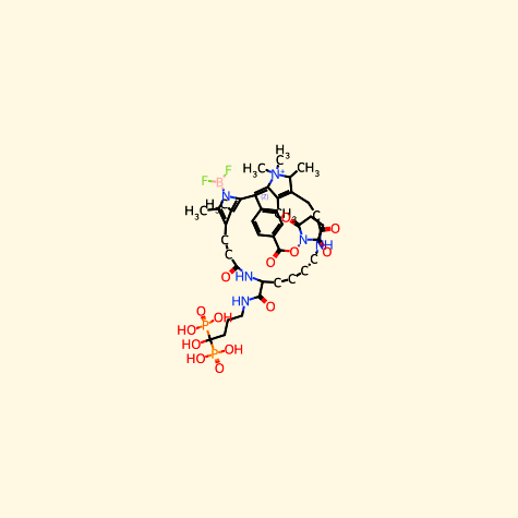 CC1=C2CCC(=O)NCCCCC(C(=O)NCCCC(O)(P(=O)(O)O)P(=O)(O)O)NC(=O)CCc3c(C)c(n(B(F)F)c3C)/C(c3ccc(C(=O)ON4C(=O)CCC4=O)cc3)=C/1[N+](C)(C)C2C